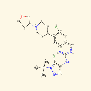 BC(B)(B)n1ncc(Nc2ncc3cc(Cl)c(C4CCN([C@@H]5CCOC5)CC4)cc3n2)c1Cl